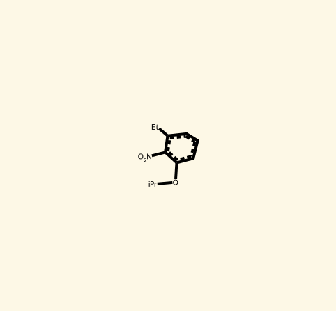 CCc1cccc(OC(C)C)c1[N+](=O)[O-]